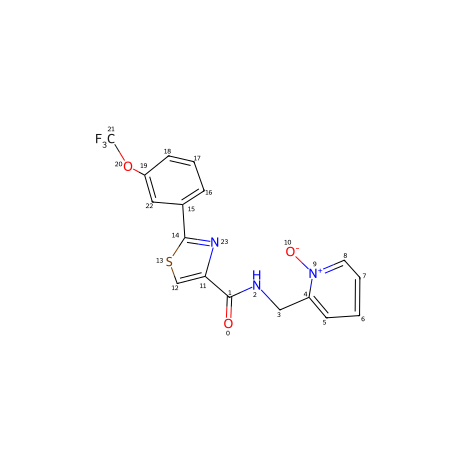 O=C(NCc1cccc[n+]1[O-])c1csc(-c2cccc(OC(F)(F)F)c2)n1